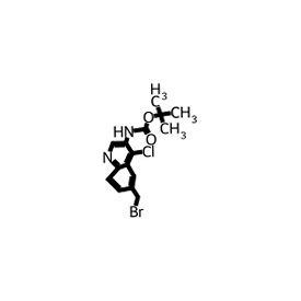 CC(C)(C)OC(=O)Nc1cnc2ccc(CBr)cc2c1Cl